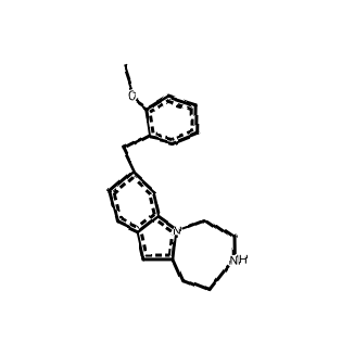 COc1ccccc1Cc1ccc2cc3n(c2c1)CCNCC3